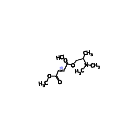 COC(=O)/C=C/C(=O)OCC(C)N(C)C.Cl